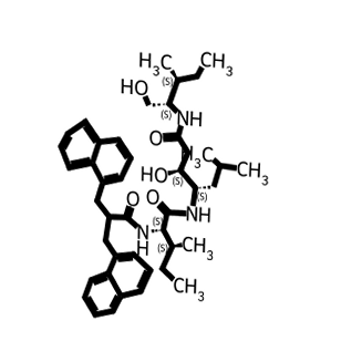 CC[C@H](C)[C@H](NC(=O)C(Cc1cccc2ccccc12)Cc1cccc2ccccc12)C(=O)N[C@@H](CC(C)C)[C@@H](O)CC(=O)N[C@H](CO)[C@@H](C)CC